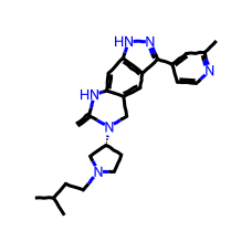 C=C1Nc2cc3[nH]nc(-c4ccnc(C)c4)c3cc2CN1[C@@H]1CCN(CCC(C)C)C1